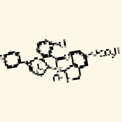 C[N+](C(=O)c1c(Cl)cccc1C(F)(F)F)(C1CCN(c2ccncc2)CC1)C1CCc2cc(OC(=O)O)ccc21